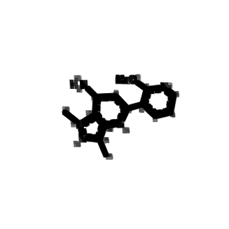 COc1ncccc1-c1cc(N)c2c(n1)c(C)nn2C